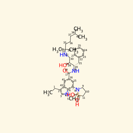 CCc1cn(C)c2c(N3CCCS3(O)O)cc(C(=O)N[C@@H](Cc3ccccc3)[C@@H](O)CNC(C)(C)CCCC(C)C)cc12